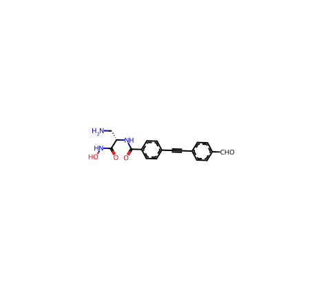 NC[C@H](NC(=O)c1ccc(C#Cc2ccc(C=O)cc2)cc1)C(=O)NO